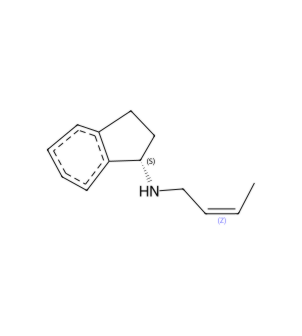 C/C=C\CN[C@H]1CCc2ccccc21